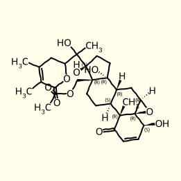 CC(=O)OC[C@]12CC[C@H]3[C@@H](C[C@H]4O[C@]45[C@@H](O)C=CC(=O)[C@]35C)[C@]1(O)CC[C@@]2(O)C(C)(O)C1CC(C)=C(C)C(=O)O1